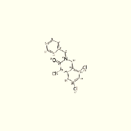 O=C(CCl)N(Cc1ccccc1)Cc1ccc(Cl)cc1Cl